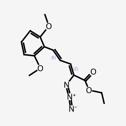 CCOC(=O)/C(=C/C=C/c1c(OC)cccc1OC)N=[N+]=[N-]